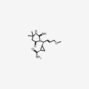 COC/C=C/[C@@H](C1C[C@H]1C(N)=O)N1C(=N)NC(C)(C)CC1=O